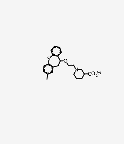 Cc1ccc2c(c1)CC(OCCN1CCCC(C(=O)O)C1)c1ccccc1S2